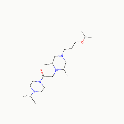 CC(C)OCCCN1CC(C)N(CC(=O)N2CCN(C(C)C)CC2)C(C)C1